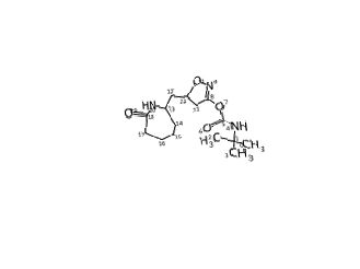 CC(C)(C)NC(=O)OC1=NOC(CC2CCCCC(=O)N2)C1